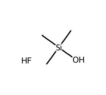 C[Si](C)(C)O.F